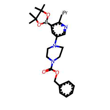 CC(C)c1ncc(N2CCN(C(=O)OCc3ccccc3)CC2)cc1B1OC(C)(C)C(C)(C)O1